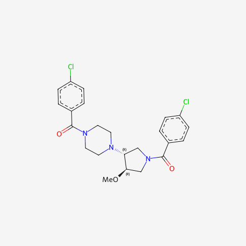 CO[C@@H]1CN(C(=O)c2ccc(Cl)cc2)C[C@H]1N1CCN(C(=O)c2ccc(Cl)cc2)CC1